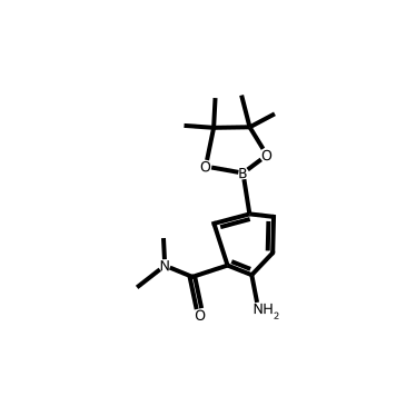 CN(C)C(=O)c1cc(B2OC(C)(C)C(C)(C)O2)ccc1N